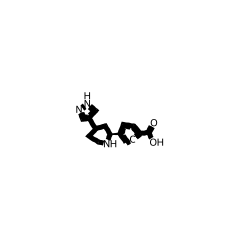 O=C(O)c1ccc([C@@H]2CC(c3cn[nH]c3)CCN2)cc1